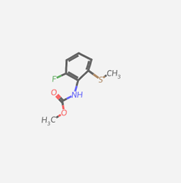 COC(=O)Nc1c(F)cccc1SC